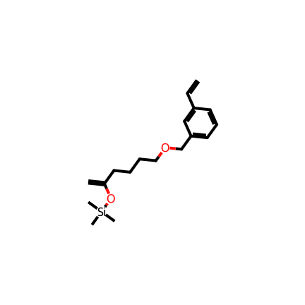 C=Cc1cccc(COCCCCC(=C)O[Si](C)(C)C)c1